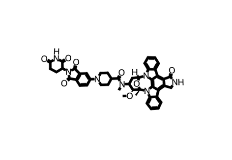 CO[C@@H]1C(N(C)C(=O)C2CCN(c3ccc4c(c3)C(=O)N(C3CCC(=O)NC3=O)C4=O)CC2)C[C@H]2O[C@]1(C)n1c3ccccc3c3c4c(c5c6ccccc6n2c5c31)C(=O)NC4